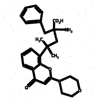 CC(C)(CC(N)(Cc1ccccc1)C(=O)O)c1cccc2c(=O)cc(N3CCOCC3)oc12